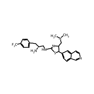 CN(C)CC1N=C(NC[C@@H](N)Cc2ccc(C(F)(F)F)cc2)SC1c1ccc2cnccc2c1